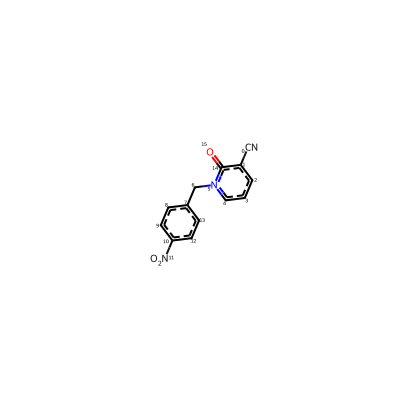 N#Cc1cccn(Cc2ccc([N+](=O)[O-])cc2)c1=O